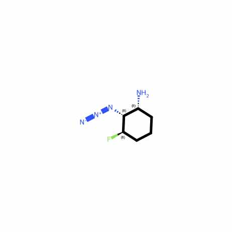 [N-]=[N+]=N[C@@H]1[C@H](N)CCC[C@H]1F